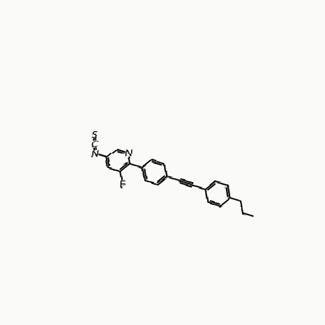 CCCc1ccc(C#Cc2ccc(-c3ncc(N=C=S)cc3F)cc2)cc1